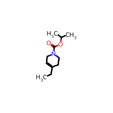 CCC1=CCN(C(=O)OC(C)C)CC1